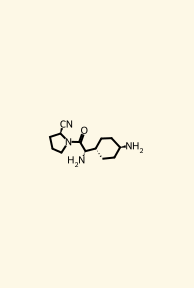 N#C[C@@H]1CCCN1C(=O)[C@@H](N)[C@H]1CC[C@H](N)CC1